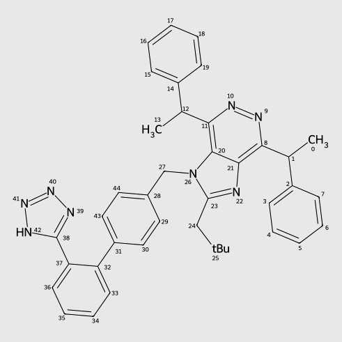 CC(c1ccccc1)c1nnc(C(C)c2ccccc2)c2c1nc(CC(C)(C)C)n2Cc1ccc(-c2ccccc2-c2nnn[nH]2)cc1